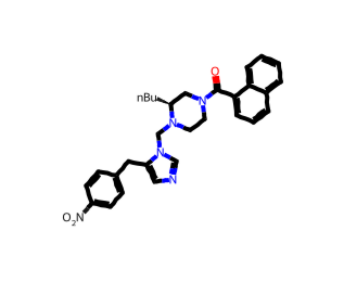 CCCC[C@H]1CN(C(=O)c2cccc3ccccc23)CCN1Cn1cncc1Cc1ccc([N+](=O)[O-])cc1